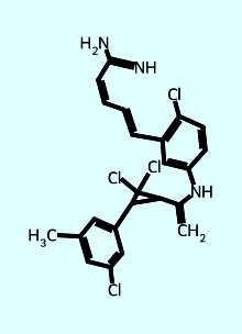 C=C(Nc1ccc(Cl)c(/C=C/C=C\C(=N)N)c1)C1C(c2cc(C)cc(Cl)c2)C1(Cl)Cl